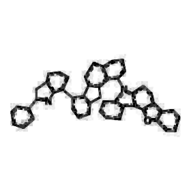 c1ccc(C2=Nc3c(cccc3-c3cccc4c3-c3ccc5cccc(-n6c7ccccc7c7c8oc9ccccc9c8ccc76)c5c3C4)C2)cc1